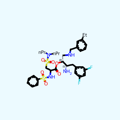 CCCN(CCC)S(=O)(=O)CC(NS(=O)(=O)c1ccccc1)C(=O)O[C@H](CNCc1cccc(CC)c1)[C@@H](N)Cc1cc(F)cc(F)c1